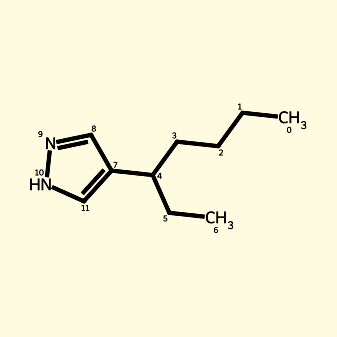 CCCCC(CC)c1cn[nH]c1